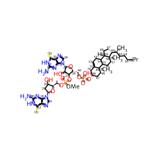 COP(=O)(OC[C@H]1O[C@@H](n2cnc3c(=S)[nH]c(N)nc32)CC1O)OC1C(O)[C@H](n2cnc3c(=S)[nH]c(N)nc32)O[C@@H]1COP(=O)(O)O[C@H]1CC[C@@]2(C)C(=CCC3C2CC[C@]2(C)[C@@H]([C@H](C)CCCC(C)C)CC[C@@H]32)C1